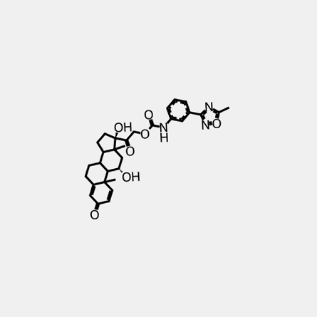 Cc1nc(-c2cccc(NC(=O)OCC(=O)[C@@]3(O)CCC4C5CCC6=CC(=O)C=CC6(C)C5[C@@H](O)CC43C)c2)no1